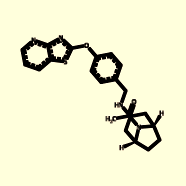 CC(=O)N1[C@@H]2CC[C@H]1CC(NCc1ccc(Oc3nc4ncccc4s3)cc1)C2